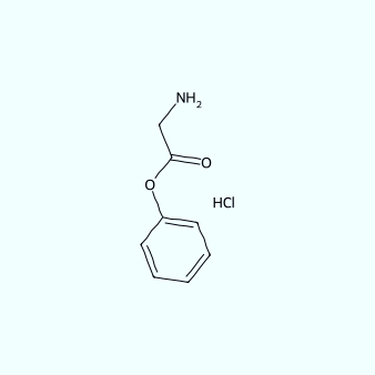 Cl.NCC(=O)Oc1ccccc1